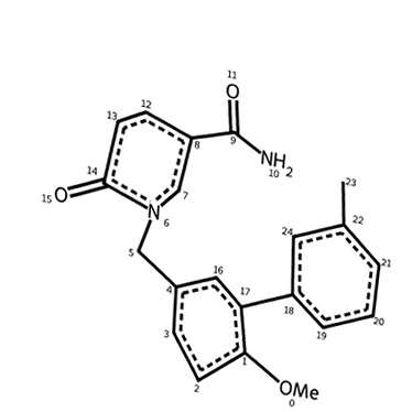 COc1ccc(Cn2cc(C(N)=O)ccc2=O)cc1-c1cccc(C)c1